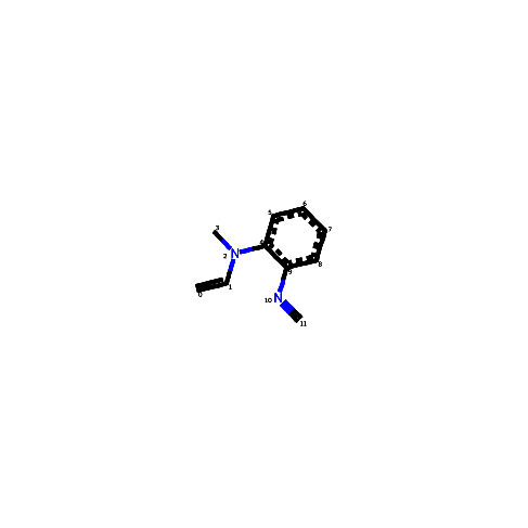 C=CN(C)c1ccccc1N=C